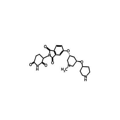 CN1C[C@H](Oc2ccc3c(c2)C(=O)N(C2CCC(=O)NC2=O)C3=O)C[C@@H](OC2CCNCC2)C1